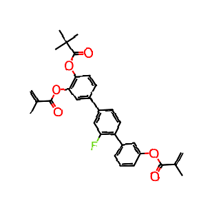 C=C(C)C(=O)Oc1cccc(-c2ccc(-c3ccc(OC(=O)C(C)(C)C)c(OC(=O)C(=C)C)c3)cc2F)c1